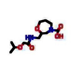 CC(C)OCC(=O)NCC1CN(C(=O)O)CCCO1